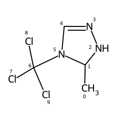 CC1NN=CN1C(Cl)(Cl)Cl